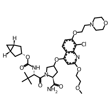 COCCOc1cc(OC2C[C@@H](C(N)=O)N(C(=O)[C@@H](NC(=O)O[C@@H]3C[C@@H]4C[C@@H]4C3)C(C)(C)C)C2)c2ccc(OCCN3CCOCC3)c(Cl)c2n1